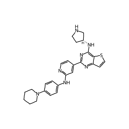 c1cc(-c2nc(N[C@@H]3CCNC3)c3sccc3n2)cc(Nc2ccc(N3CCCCC3)cc2)n1